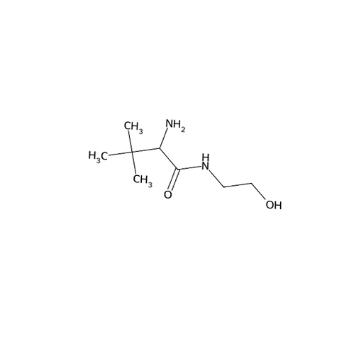 CC(C)(C)C(N)C(=O)NCCO